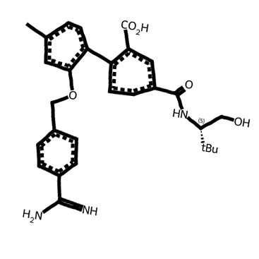 Cc1ccc(-c2ccc(C(=O)N[C@H](CO)C(C)(C)C)cc2C(=O)O)c(OCc2ccc(C(=N)N)cc2)c1